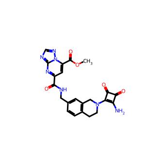 COC(=O)c1cc(C(=O)NCc2ccc3c(c2)CN(c2c(N)c(=O)c2=O)CC3)nc2ncnn12